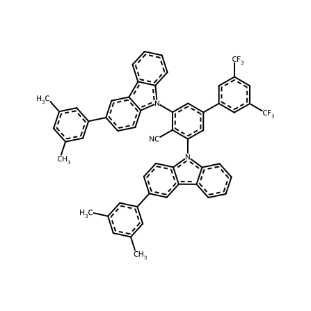 Cc1cc(C)cc(-c2ccc3c(c2)c2ccccc2n3-c2cc(-c3cc(C(F)(F)F)cc(C(F)(F)F)c3)cc(-n3c4ccccc4c4cc(-c5cc(C)cc(C)c5)ccc43)c2C#N)c1